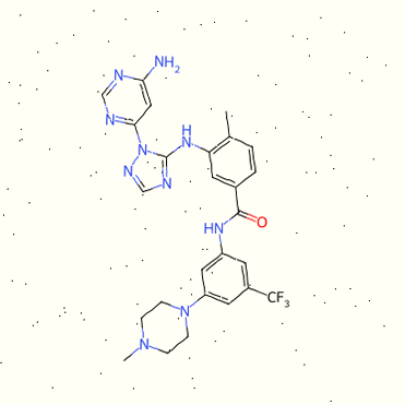 Cc1ccc(C(=O)Nc2cc(N3CCN(C)CC3)cc(C(F)(F)F)c2)cc1Nc1ncnn1-c1cc(N)ncn1